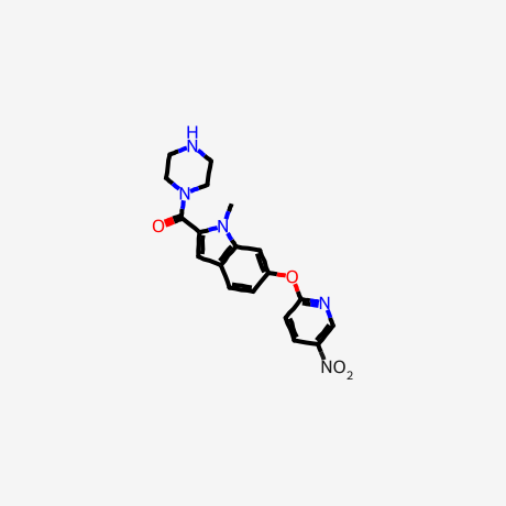 Cn1c(C(=O)N2CCNCC2)cc2ccc(Oc3ccc([N+](=O)[O-])cn3)cc21